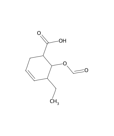 CCC1C=CCC(C(=O)O)C1OC=O